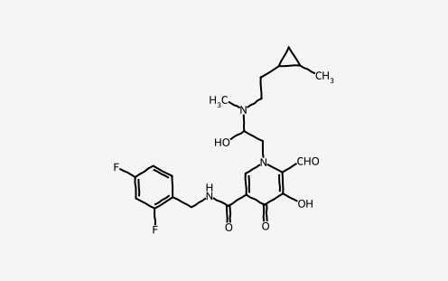 CC1CC1CCN(C)C(O)Cn1cc(C(=O)NCc2ccc(F)cc2F)c(=O)c(O)c1C=O